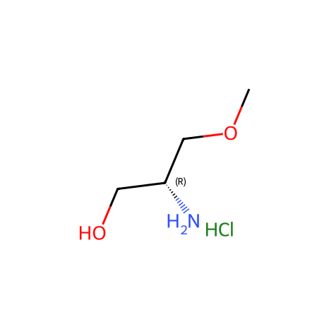 COC[C@H](N)CO.Cl